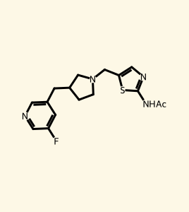 CC(=O)Nc1ncc(CN2CCC(Cc3cncc(F)c3)C2)s1